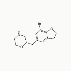 Brc1cc(CC2CNCCO2)cc2c1OCC2